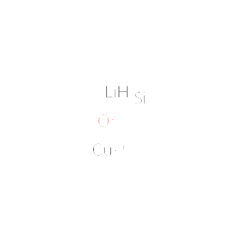 [Cu+2].[LiH].[O-2].[Si]